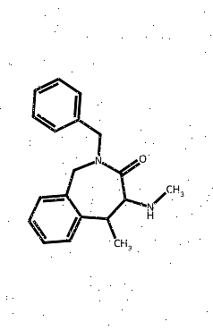 CNC1C(=O)N(Cc2ccccc2)Cc2ccccc2C1C